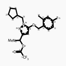 CNC(OC(=O)C(F)(F)F)c1cc(OCc2ccc(F)cc2C)n(CC2CCCC2)n1